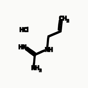 C=CCNC(=N)N.Cl